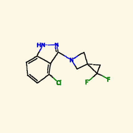 FC1(F)CC12CN(c1n[nH]c3cccc(Cl)c13)C2